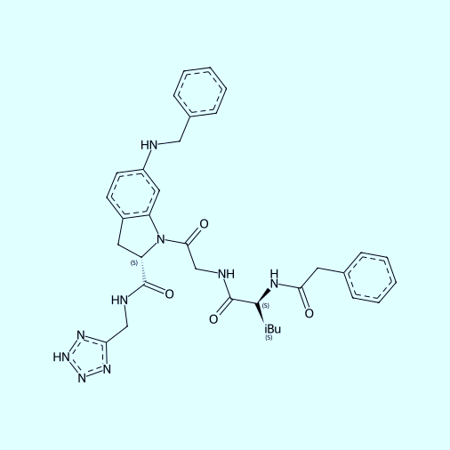 CC[C@H](C)[C@H](NC(=O)Cc1ccccc1)C(=O)NCC(=O)N1c2cc(NCc3ccccc3)ccc2C[C@H]1C(=O)NCc1nn[nH]n1